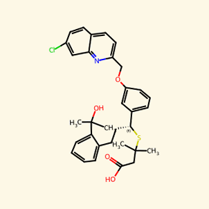 CC(C)(CC(=O)O)S[C@H](CCc1ccccc1C(C)(C)O)c1cccc(OCc2ccc3ccc(Cl)cc3n2)c1